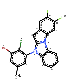 Cc1cc(Br)c(Cl)c(-n2c3ccccc3n3c4cc(F)c(F)cc4cc23)c1